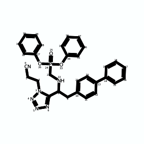 N#CCCn1nnnc1C(Cc1ccc(-c2ccccc2)cc1)NCP(=O)(Oc1ccccc1)Oc1ccccc1